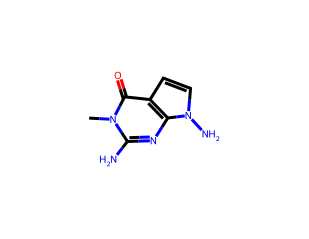 Cn1c(N)nc2c(ccn2N)c1=O